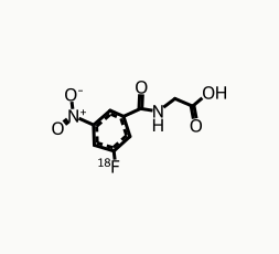 O=C(O)CNC(=O)c1cc([18F])cc([N+](=O)[O-])c1